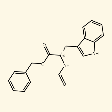 O=CN[C@@H](Cc1c[nH]c2ccccc12)C(=O)OCc1ccccc1